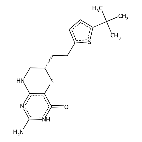 CC(C)(C)c1ccc(CC[C@H]2CNc3nc(N)[nH]c(=O)c3S2)s1